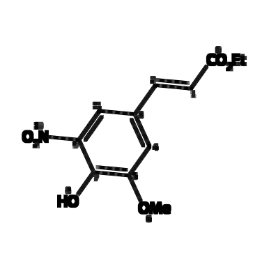 CCOC(=O)C=Cc1cc(OC)c(O)c([N+](=O)[O-])c1